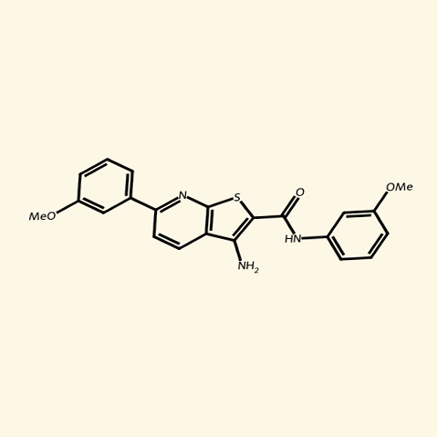 COc1cccc(NC(=O)c2sc3nc(-c4cccc(OC)c4)ccc3c2N)c1